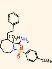 COc1ccc(S(=O)(=O)N2CCCCC(CCc3ccccc3)C2(C(N)=O)C(=O)O)cc1